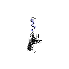 CC/C=C\C/C=C\C/C=C\C/C=C\C/C=C\CCCC(=O)NCCNP(=O)(OC[C@@H]1OC(n2ccc(N)nc2=O)CS1)Oc1ccc(F)cc1